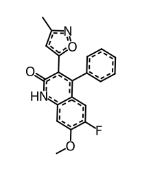 COc1cc2[nH]c(=O)c(-c3cc(C)no3)c(-c3ccccc3)c2cc1F